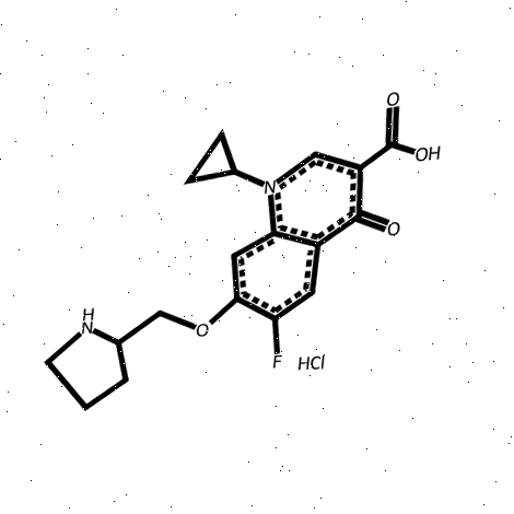 Cl.O=C(O)c1cn(C2CC2)c2cc(OCC3CCCN3)c(F)cc2c1=O